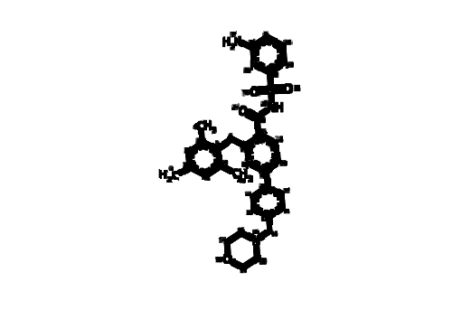 Cc1cc(C)c(Cc2nc(-c3ccc(CN4CCOCC4)cc3)ccc2C(=O)NS(=O)(=O)c2cccc(N)n2)c(C)c1